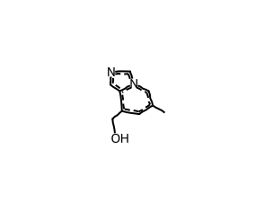 Cc1cc(CO)c2cncn2c1